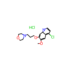 COc1cc2c(Cl)ccnc2cc1OCCCN1CCOCC1.Cl